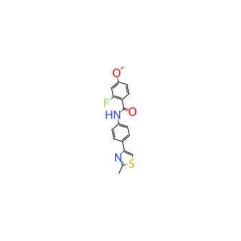 COc1ccc(C(=O)Nc2ccc(-c3csc(C)n3)cc2)c(F)c1